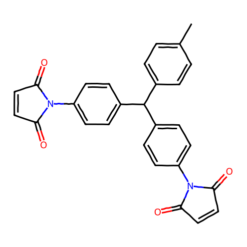 Cc1ccc(C(c2ccc(N3C(=O)C=CC3=O)cc2)c2ccc(N3C(=O)C=CC3=O)cc2)cc1